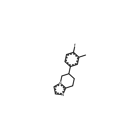 Cc1cc(C2CCc3n[c]cn3C2)ccc1F